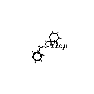 CC(C)(C)C1(CNCc2ccccc2)CCCCN1C(=O)O